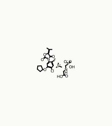 CC(C)=C1OC(=O)N(c2cc(OC3CCCC3)c(Cl)cc2F)C1=O.C[S+](C)C.O=C(O)CNCP(=O)([O-])O